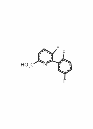 O=C(O)c1ccc(F)c(-c2cc(F)ccc2F)n1